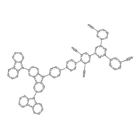 N#Cc1cccc(-c2cc(-c3cc(C#N)c(-c4ccc(-c5ccc(-n6c7ccc(-n8c9ccccc9c9ccccc98)cc7c7cc(-n8c9ccccc9c9ccccc98)ccc76)cc5)cc4)c(C#N)c3)nc(-c3cccc(C#N)c3)n2)c1